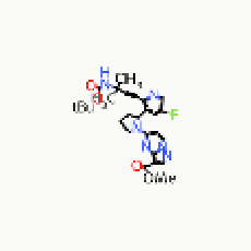 COC(=O)c1cnn2ccc(N3CCCC3c3cc(F)cnc3C#CC(C)(C)NC(=O)OC(C)(C)C)nc12